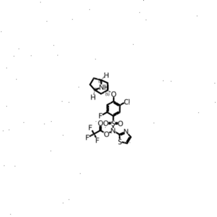 O=C(ON(c1nccs1)S(=O)(=O)c1cc(Cl)c(O[C@@H]2C[C@H]3CC[C@@H](C2)N3)cc1F)C(F)(F)F